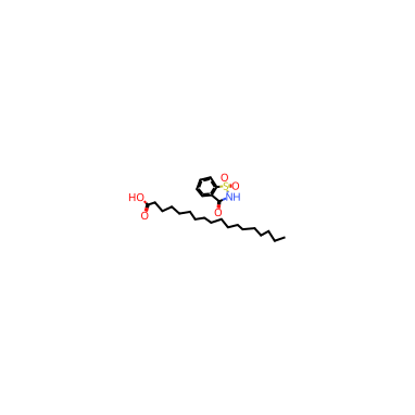 CCCCCCCCCCCCCCCCCC(=O)O.O=C1NS(=O)(=O)c2ccccc21